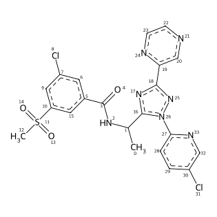 CC(NC(=O)c1cc(Cl)cc(S(C)(=O)=O)c1)c1nc(-c2cnccn2)nn1-c1ccc(Cl)cn1